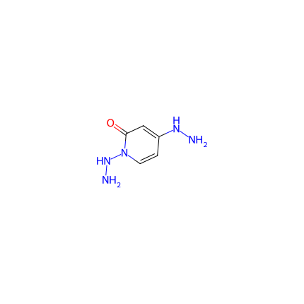 NNc1ccn(NN)c(=O)c1